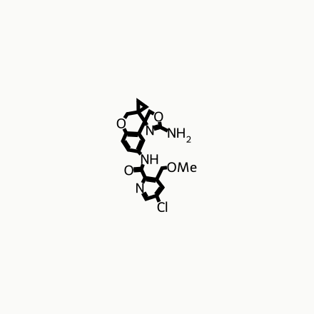 COCc1cc(Cl)cnc1C(=O)Nc1ccc2c(c1)C1(COC(N)=N1)C1(CC1)CO2